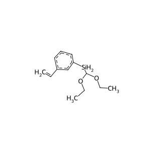 C=Cc1cccc([SiH2]C(OCC)OCC)c1